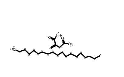 C=C(CC(=O)O)C(=O)O.CCCCCCCCCCCCCCCCCCO